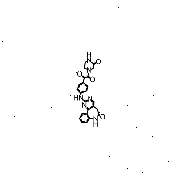 O=C1CN(C(=O)C(=O)c2ccc(Nc3ncc4c(n3)-c3ccccc3NC(=O)C4)cc2)CCN1